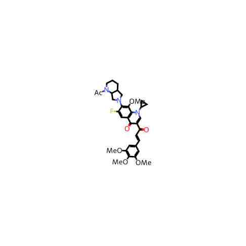 COc1cc(/C=C/C(=O)c2cn(C3CC3)c3c(OC)c(N4CC5CCCN(C(C)=O)C5C4)c(F)cc3c2=O)cc(OC)c1OC